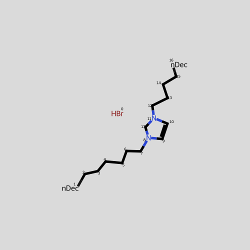 Br.CCCCCCCCCCCCCCCCN1C=CN(CCCCCCCCCCCCCC)C1